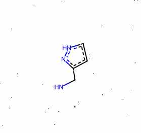 [NH]Cc1cc[nH]n1